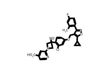 Cc1cc(F)ccc1-c1noc(C2CC2)c1COc1ccc(C2(N=O)CN(c3cc(C(=O)O)ccn3)C2)c(Cl)c1